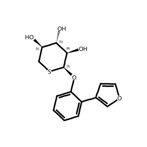 O[C@@H]1[C@@H](O)[C@@H](Oc2ccccc2-c2ccoc2)SC[C@H]1O